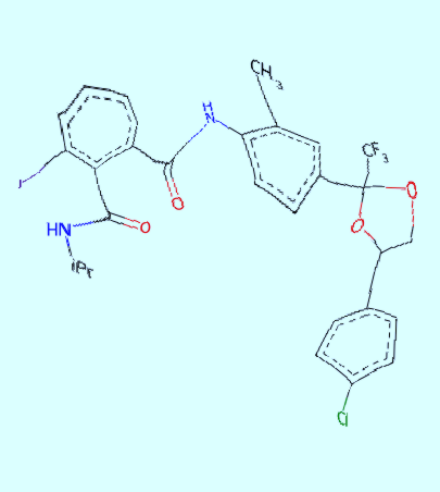 Cc1cc(C2(C(F)(F)F)OCC(c3ccc(Cl)cc3)O2)ccc1NC(=O)c1cccc(I)c1C(=O)NC(C)C